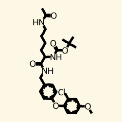 COc1ccc(Oc2ccc(CNC(=O)C(CCCCNC(C)=O)NC(=O)OC(C)(C)C)cc2)c(Cl)c1